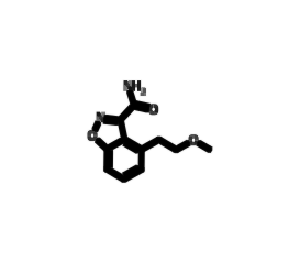 COCCc1cccc2onc(C(N)=O)c12